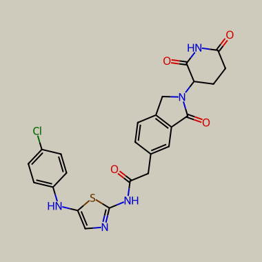 O=C1CCC(N2Cc3ccc(CC(=O)Nc4ncc(Nc5ccc(Cl)cc5)s4)cc3C2=O)C(=O)N1